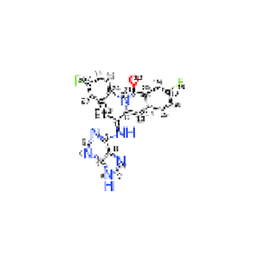 CC[C@H](Nc1ncnc2[nH]cnc12)c1cc2ccc(F)cc2c(=O)n1-c1ccc(F)cc1